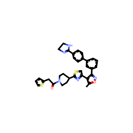 Cc1onc(-c2cccc(-c3ccc(C4=NCCN4)cc3)c2)c1-c1csc(C2CCN(C(=O)Cc3cccs3)CC2)n1